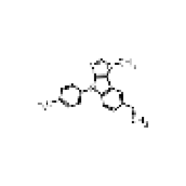 C=Cc1ccc2c(c1)c1c(ncn1C)n2-c1ccc(C(F)(F)F)cc1